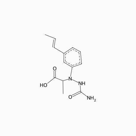 CC=Cc1cccc(N(NC(N)=O)C(C)C(=O)O)c1